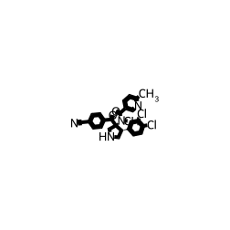 Cc1ccc(C(=O)N(C)[C@]2(C(=O)c3ccc(C#N)cc3)CNC[C@H]2c2ccc(Cl)c(Cl)c2)cn1